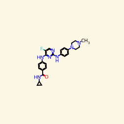 CN1CCN(c2ccc(Nc3ncc(F)c(Nc4ccc(C(=O)NC5CC5)cc4)n3)cc2)CC1